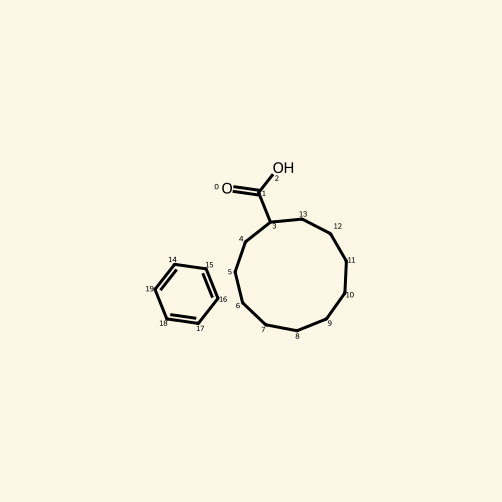 O=C(O)C1CCCCCCCCCC1.c1ccccc1